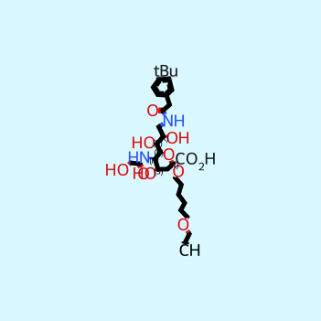 C#CCOCCCCCCO[C@]1(C(=O)O)C[C@H](O)[C@@H](NC(=O)CO)[C@H]([C@H](O)[C@H](O)CNC(=O)Cc2ccc(C(C)(C)C)cc2)O1